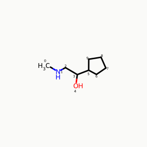 CNCC(O)C1CCCC1